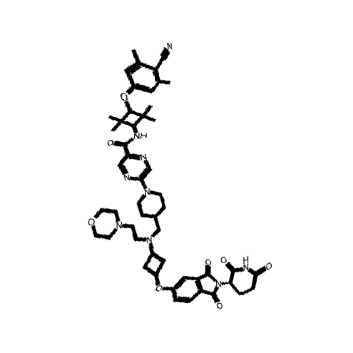 Cc1cc(OC2C(C)(C)C(NC(=O)c3cnc(N4CCC(CN(CCN5CCOCC5)C5CC(Oc6ccc7c(c6)C(=O)N([C@@H]6CCC(=O)NC6=O)C7=O)C5)CC4)cn3)C2(C)C)cc(C)c1C#N